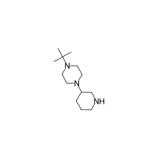 CC(C)(C)N1CCN(C2CCCNC2)CC1